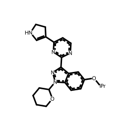 CC(C)Oc1ccc2c(c1)c(-c1nccc(C3=CNCC3)n1)nn2C1CCCCO1